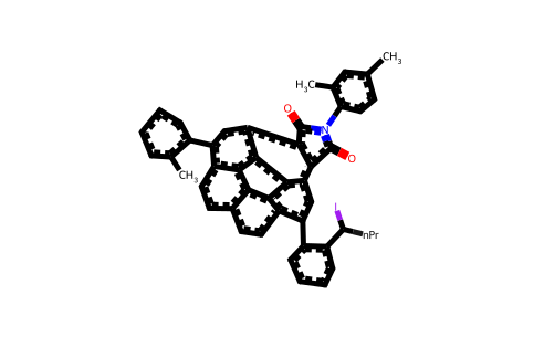 CCCC(I)c1ccccc1-c1cc2c3c(=O)n(-c4ccc(C)cc4C)c(=O)c3c3cc(-c4ccccc4C)c4ccc5ccc1c1c5c4c3c21